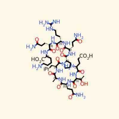 CC(C)C[C@H](NC(=O)[C@H](C)NC(=O)[C@H](CCC(N)=O)NC(=O)[C@@H](NC(=O)[C@@H](N)CCC(=O)O)[C@@H](C)O)C(=O)N1CCC[C@H]1C(=O)N[C@@H](CCC(N)=O)C(=O)N[C@@H](CCCNC(=N)N)C(=O)N[C@@H](CCC(N)=O)C(=O)N[C@@H](CCCCN)C(=O)O